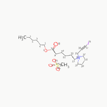 CCCCCCOC(=O)CCCCC[N+]1(CC#CI)CCCC1.CS(=O)(=O)[O-]